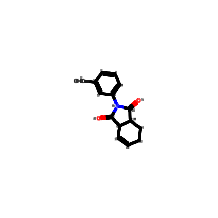 O=Cc1cccc(N2C(=O)C3C=CCCC3C2=O)c1